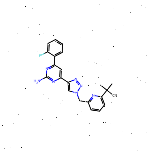 CC(C)(C#N)c1cccc(Cn2cc(-c3cc(-c4ccccc4F)nc(N)n3)nn2)n1